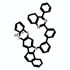 C1=CC2Sc3cc4c(cc3S[C@H]2C=C1)c1ccc2c(c1n4-c1cccc(-c3cccc(-c4nc5c(c(-c6ccccc6)n4)CCC=C5)c3)c1)CCC=C2